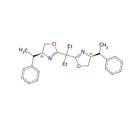 CCC(CC)(C1=N[C@@H](C(C)c2ccccc2)CO1)C1=N[C@@H](C(C)c2ccccc2)CO1